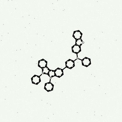 c1ccc(N(c2ccc(-c3ccc4c(c3)c3c5ccccc5n(-c5ccccc5)c3n4-c3ccccc3)cc2)c2ccc3c(c2)oc2ccccc23)cc1